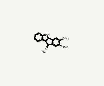 COc1cc2c(cc1OC)-c1[nH]c3ccccc3c1C2=O.Cl